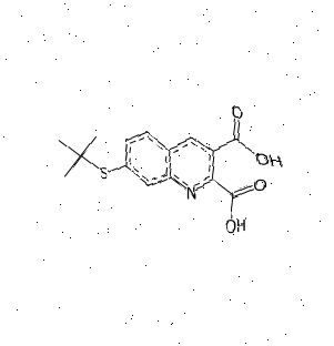 CC(C)(C)Sc1ccc2cc(C(=O)O)c(C(=O)O)nc2c1